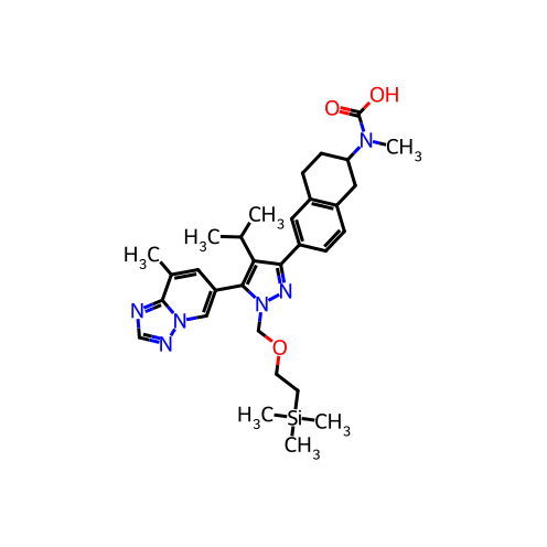 Cc1cc(-c2c(C(C)C)c(-c3ccc4c(c3)CCC(N(C)C(=O)O)C4)nn2COCC[Si](C)(C)C)cn2ncnc12